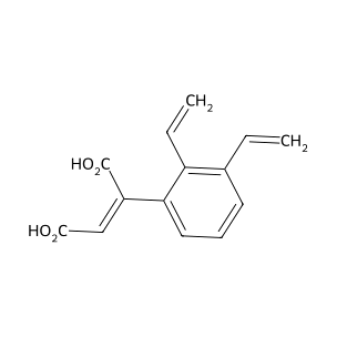 C=Cc1cccc(/C(=C/C(=O)O)C(=O)O)c1C=C